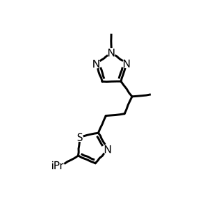 CC(C)c1cnc(CCC(C)c2cnn(C)n2)s1